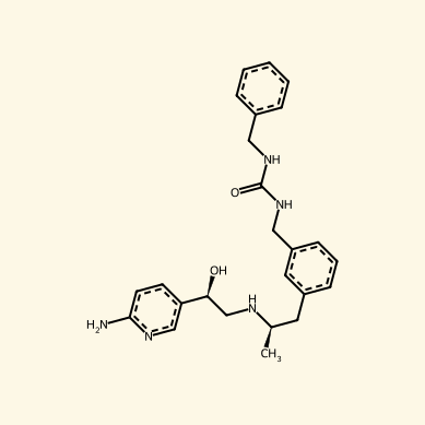 C[C@H](Cc1cccc(CNC(=O)NCc2ccccc2)c1)NC[C@H](O)c1ccc(N)nc1